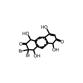 O=C1C=C(O)c2cc3c(cc2C1O)C(O)C(Br)(Br)C(=O)C3O